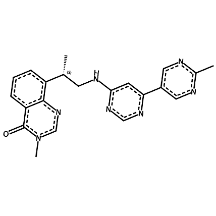 Cc1ncc(-c2cc(NC[C@@H](C)c3cccc4c(=O)n(C)cnc34)ncn2)cn1